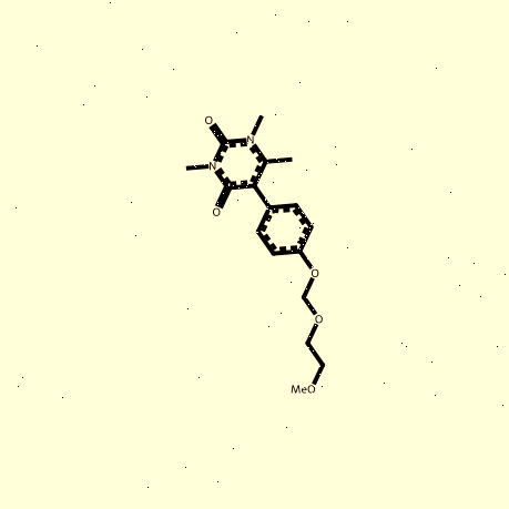 COCCOCOc1ccc(-c2c(C)n(C)c(=O)n(C)c2=O)cc1